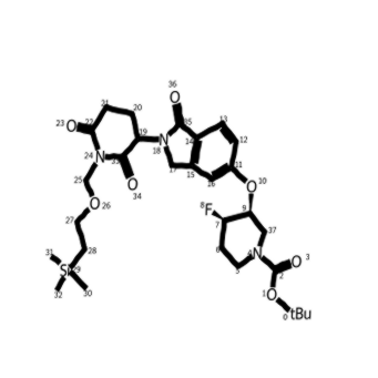 CC(C)(C)OC(=O)N1CC[C@@H](F)[C@@H](Oc2ccc3c(c2)CN(C2CCC(=O)N(COCC[Si](C)(C)C)C2=O)C3=O)C1